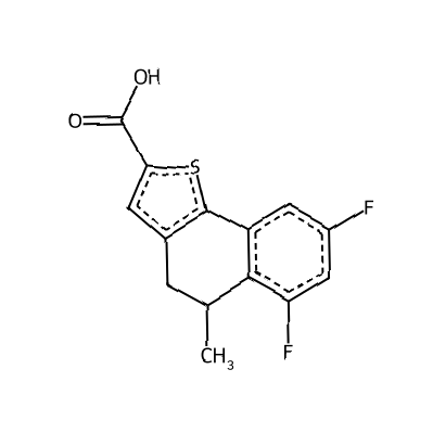 CC1Cc2cc(C(=O)O)sc2-c2cc(F)cc(F)c21